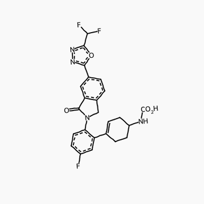 O=C(O)NC1CC=C(c2cc(F)ccc2N2Cc3ccc(-c4nnc(C(F)F)o4)cc3C2=O)CC1